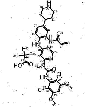 C=CC(=O)Nc1cc(C2CCNCC2)ccc1Nc1cc(N(C)C(=O)Nc2c(Cl)c(OC)cc(OC)c2Cl)ncn1.O=C(O)C(F)(F)F